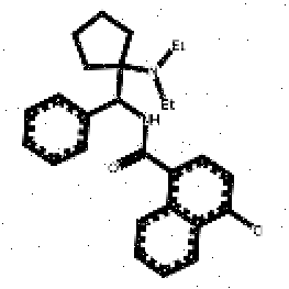 CCN(CC)C1(C(NC(=O)c2ccc(Cl)c3ccccc23)c2ccccc2)CCCC1